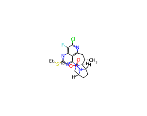 CCSc1nc2c3c(nc(Cl)c(F)c3n1)C[C@H](C)[C@H]1[C@@H]3CC[C@H](CN21)N3C(=O)OC(C)(C)C